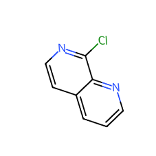 Clc1nccc2cccnc12